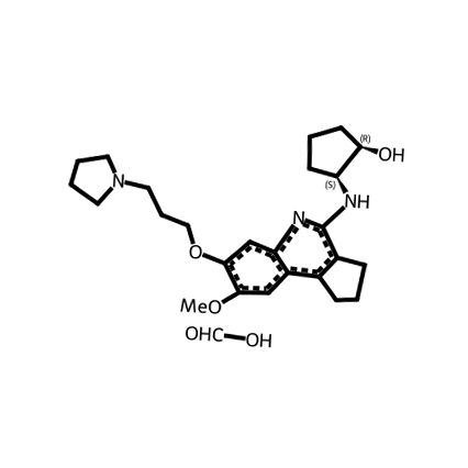 COc1cc2c3c(c(N[C@H]4CCC[C@H]4O)nc2cc1OCCCN1CCCC1)CCC3.O=CO